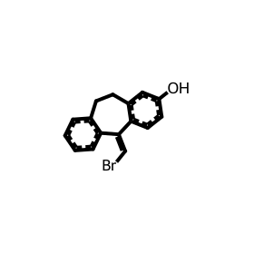 Oc1ccc2c(c1)CCc1ccccc1C2=CBr